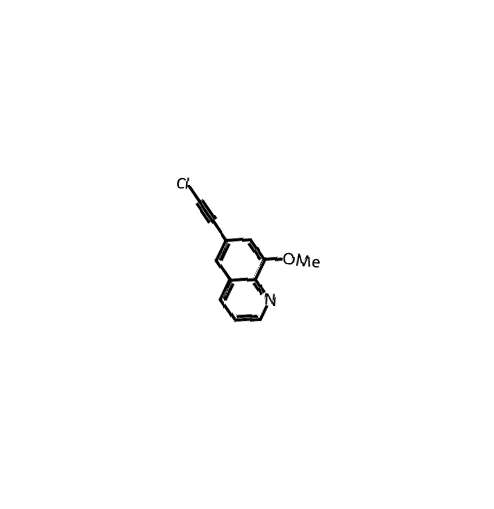 COc1cc(C#CCl)cc2cccnc12